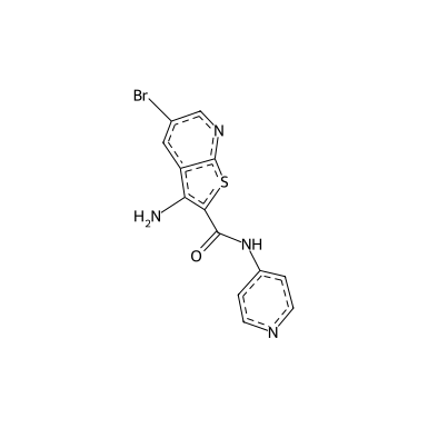 Nc1c(C(=O)Nc2ccncc2)sc2ncc(Br)cc12